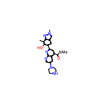 CNC(=O)c1cc(-c2cc3cn(C)nc3c(C)c2O)nc2ncc(N3CCNCC3)cc12